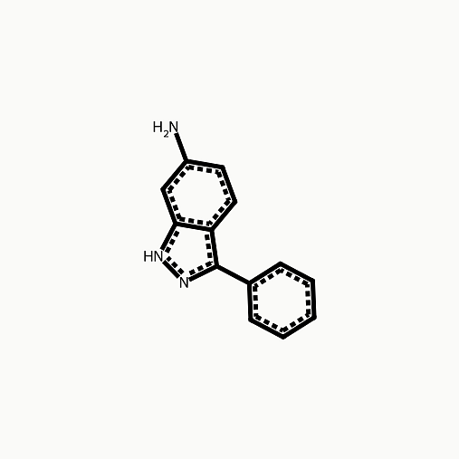 Nc1ccc2c(-c3ccccc3)n[nH]c2c1